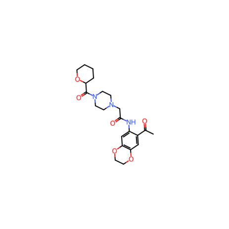 CC(=O)c1cc2c(cc1NC(=O)CN1CCN(C(=O)C3CCCCO3)CC1)OCCO2